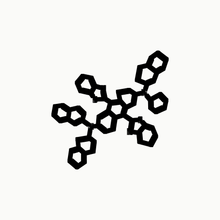 c1ccc(N(c2ccc3ccccc3c2)c2ccc3c(-c4nc5ccccc5s4)c4cc(N(c5ccc6ccccc6c5)c5ccc6ccccc6c5)ccc4c(-c4nc5ccccc5s4)c3c2)cc1